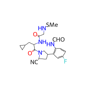 CSNCC(=O)NC(CC1CC1)C(=O)N1CC(c2cc(F)ccc2NC=O)CC1C#N